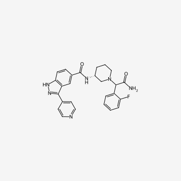 NC(=O)C(c1ccccc1F)N1CCC[C@@H](NC(=O)c2ccc3[nH]nc(-c4ccncc4)c3c2)C1